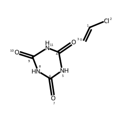 C=CCl.O=c1[nH]c(=O)[nH]c(=O)[nH]1